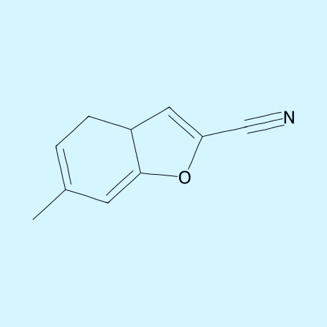 CC1=CCC2C=C(C#N)OC2=C1